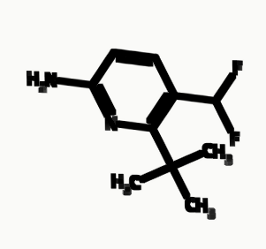 CC(C)(C)c1nc(N)ccc1C(F)F